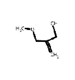 C=C(CO)COC